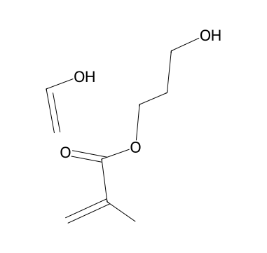 C=C(C)C(=O)OCCCO.C=CO